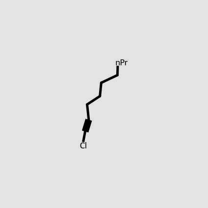 CCCCCCCC#CCl